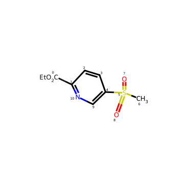 CCOC(=O)c1ccc(S(C)(=O)=O)cn1